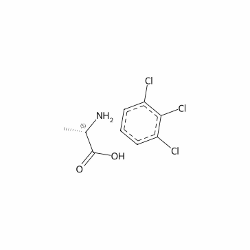 C[C@H](N)C(=O)O.Clc1cccc(Cl)c1Cl